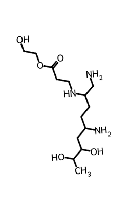 CC(O)C(O)CC(N)CCC(CN)NCCC(=O)OCCO